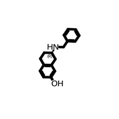 Oc1ccc2c(c1)C[C@H](NCc1ccccc1)CC2